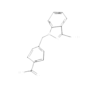 NC(=O)c1ccc(Cn2nc(C(=O)O)c3ccccc32)cc1